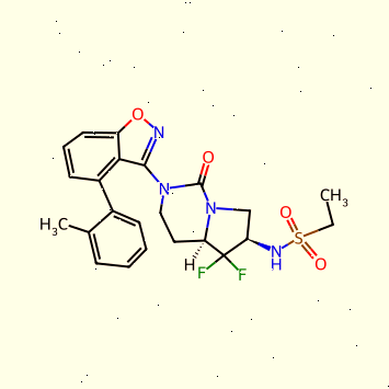 CCS(=O)(=O)N[C@@H]1CN2C(=O)N(c3noc4cccc(-c5ccccc5C)c34)CC[C@@H]2C1(F)F